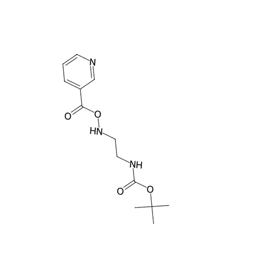 CC(C)(C)OC(=O)NCCNOC(=O)c1cccnc1